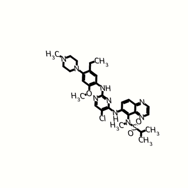 CCc1cc(Nc2ncc(Cl)c(Nc3ccc4nccnc4c3N(C)S(=O)(=O)C(C)C)n2)c(OC)cc1N1CCN(C)CC1